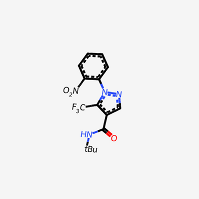 CC(C)(C)NC(=O)c1cnn(-c2ccccc2[N+](=O)[O-])c1C(F)(F)F